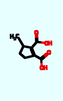 CC1CCC(C(=O)O)=C1C(=O)O